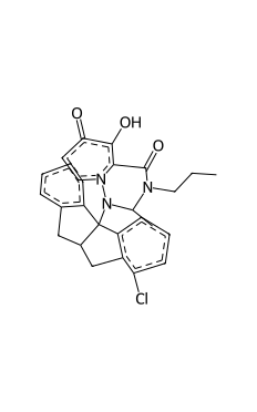 CCCN1C(=O)c2c(O)c(=O)ccn2N(C23c4ccccc4CC2Cc2c(Cl)cccc23)C1C